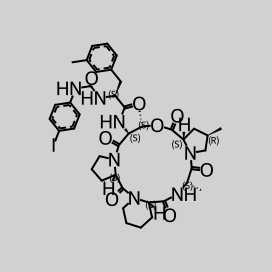 Cc1cccc(C[C@H](NC(=O)Nc2ccc(I)cc2)C(=O)N[C@@H]2C(=O)N3CCC[C@H]3C(=O)N3CCCC[C@H]3C(=O)N[C@@H](C)C(=O)N3C[C@H](C)C[C@H]3C(=O)O[C@H]2C)c1